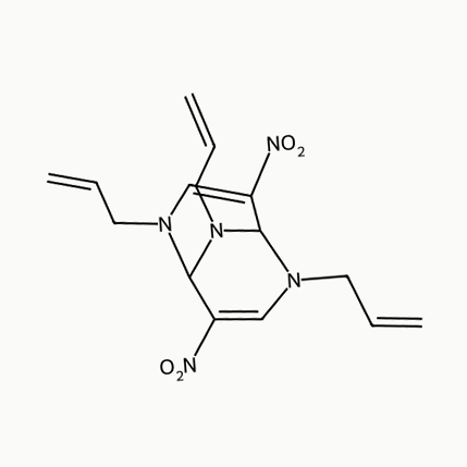 C=CCN1C=C([N+](=O)[O-])C2N(CC=C)C=C([N+](=O)[O-])C1N2CC=C